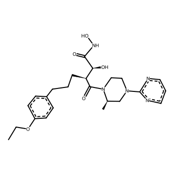 CCOc1ccc(CCC[C@H](C(=O)N2CCN(c3ncccn3)C[C@H]2C)[C@H](O)C(=O)NO)cc1